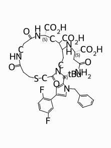 CC(C)(C)[C@H](c1cc(-c2cc(F)ccc2F)cn1Cc1ccccc1)N1CCC(N[C@@H](CC(N)=O)C(=O)O)C(C(=O)O)C[C@@H](C(=O)O)NC(=O)CCNC(=O)CCSCC1=O